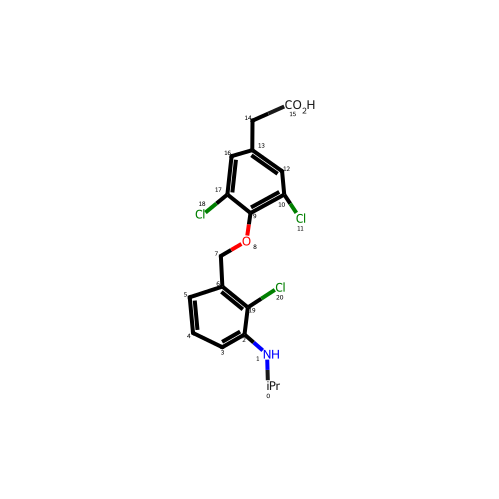 CC(C)Nc1cccc(COc2c(Cl)cc(CC(=O)O)cc2Cl)c1Cl